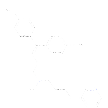 COc1ccc(C(=CCCN(C=O)CCCCc2cccnc2)c2ccc(OC)cc2)cc1